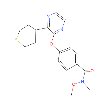 CON(C)C(=O)c1ccc(Oc2nccnc2C2CCSCC2)cc1